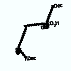 CCCCCCCCCCCCCCCCCCCCCCCC[C@@H](C(=O)O)[C@@H](CCCCCCCCCCCCCCC[C@@H]1C[C@@H]1CCCCCCCCCCCCCCCCCC[C@H](OC1CCCCO1)[C@@H](C)CCCCCCCCCCCCCCCCCC)O[Si](C)(C)C(C)(C)C